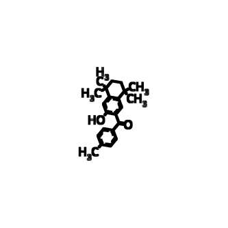 Cc1ccc(C(=O)c2cc3c(cc2O)C(C)(C)CCC3(C)C)cc1